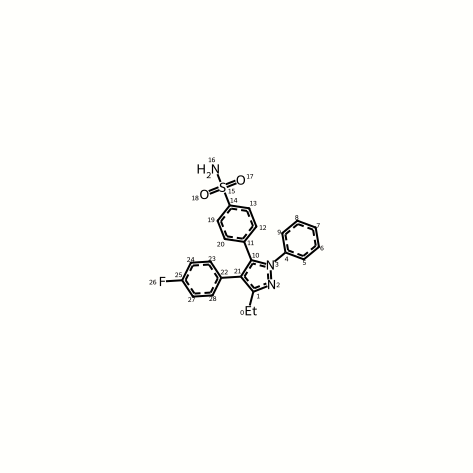 CCc1nn(-c2ccccc2)c(-c2ccc(S(N)(=O)=O)cc2)c1-c1ccc(F)cc1